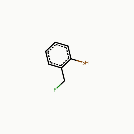 FCc1ccc[c]c1S